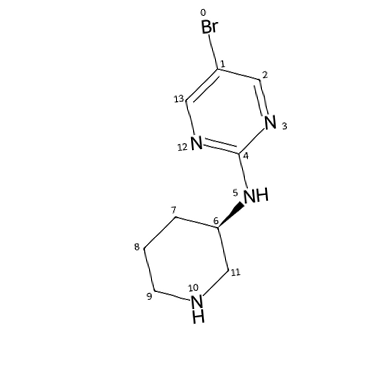 Brc1cnc(N[C@@H]2CCCNC2)nc1